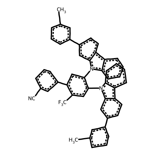 Cc1cccc(-c2ccc3c4ccccc4n(-c4cc(-c5cccc(C#N)c5)c(C(F)(F)F)cc4-n4c5ccccc5c5ccc(-c6cccc(C)c6)cc54)c3c2)c1